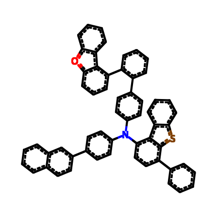 c1ccc(-c2ccc(N(c3ccc(-c4ccc5ccccc5c4)cc3)c3ccc(-c4ccccc4-c4cccc5oc6ccccc6c45)cc3)c3c2sc2ccccc23)cc1